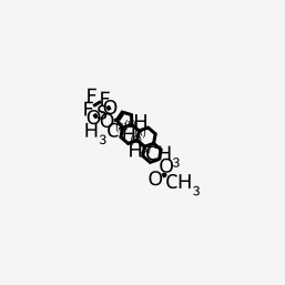 CC(=O)OC1CC[C@@]2(C)C(CC[C@@H]3[C@H]2CC[C@]2(C)C(OS(=O)(=O)C(F)(F)F)=CC[C@@H]32)C1